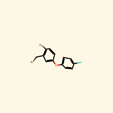 Fc1ccc(Oc2ccc(Br)c(CBr)c2)cc1